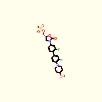 CS(=O)(=O)OC[C@H]1CN(c2ccc(-c3ccc(N4CCC(O)CC4)c(F)c3)c(F)c2)C(=O)O1